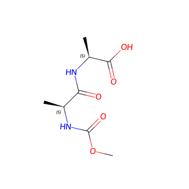 COC(=O)N[C@@H](C)C(=O)N[C@@H](C)C(=O)O